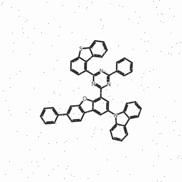 c1ccc(-c2ccc3c(c2)oc2c(-c4nc(-c5ccccc5)nc(-c5cccc6sc7ccccc7c56)n4)cc(-n4c5ccccc5c5ccccc54)cc23)cc1